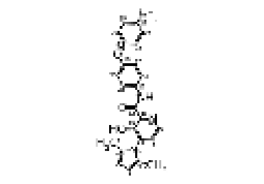 Cc1ccc(C)n1-c1ccnc(C(=O)Nc2ccc(Oc3ccc(C(F)(F)F)cc3)cc2)c1O